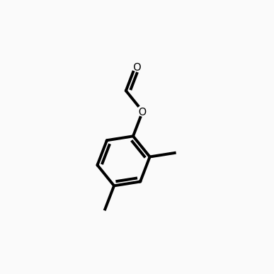 Cc1ccc(OC=O)c(C)c1